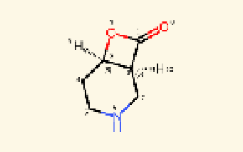 O=C1O[C@@H]2CCNC[C@H]12